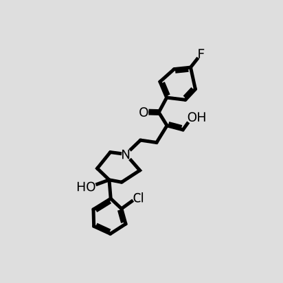 O=C(C(=CO)CCN1CCC(O)(c2ccccc2Cl)CC1)c1ccc(F)cc1